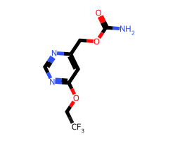 NC(=O)OCc1cc(OCC(F)(F)F)ncn1